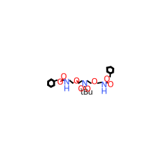 CC(C)(C)OC(=O)N(CCOCCNC(=O)OCc1ccccc1)CCOCCNC(=O)OCc1ccccc1